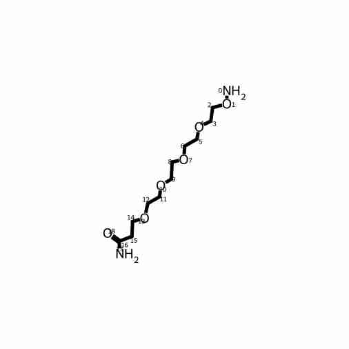 NOCCOCCOCCOCCOCCC(N)=O